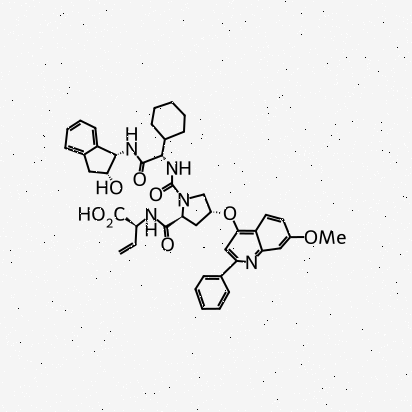 C=C[C@H](NC(=O)[C@@H]1C[C@@H](Oc2cc(-c3ccccc3)nc3cc(OC)ccc23)CN1C(=O)N[C@H](C(=O)N[C@H]1c2ccccc2C[C@H]1O)C1CCCCC1)C(=O)O